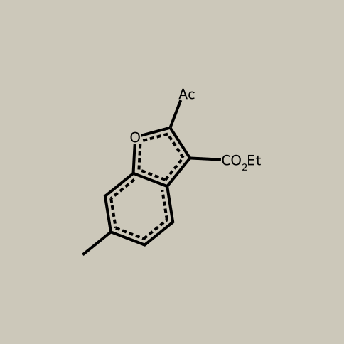 CCOC(=O)c1c(C(C)=O)oc2cc(C)ccc12